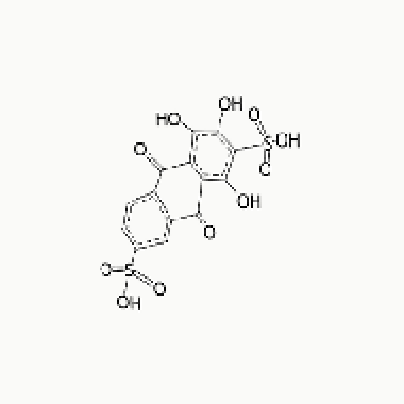 O=C1c2ccc(S(=O)(=O)O)cc2C(=O)c2c(O)c(S(=O)(=O)O)c(O)c(O)c21